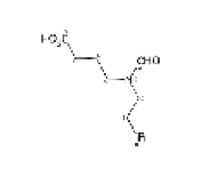 CC(C)CCN(C=O)CCCC(=O)O